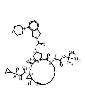 CC(C)(C)OC(=O)N[C@H]1CCCCC/C=C\[C@@H]2C[C@@]2(C(=O)NS(=O)(=O)C2CC2)NC(=O)[C@@H]2C[C@@H](OC(=O)N3Cc4cccc(N5CCOCC5)c4C3)CN2C1=O